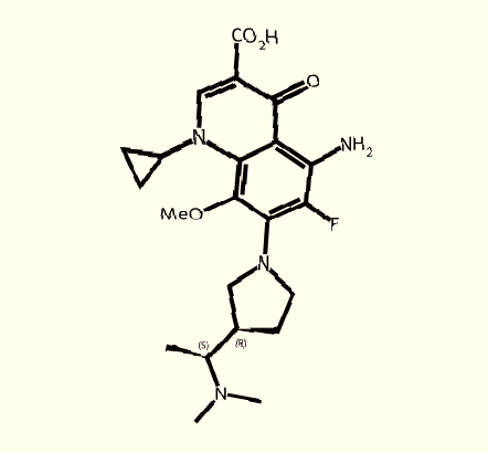 COc1c(N2CC[C@@H]([C@H](C)N(C)C)C2)c(F)c(N)c2c(=O)c(C(=O)O)cn(C3CC3)c12